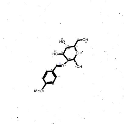 COc1ccc(/C=N/[C@@H]2C(O)OC(CO)[C@@H](O)C2O)cc1